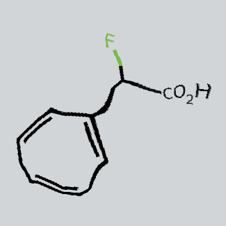 O=C(O)C(F)c1ccccc1